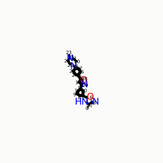 C[C@H](C#N)NC(=O)c1cccc(-c2cc(-c3ccc(N4CCN(C)CC4)cc3)on2)c1